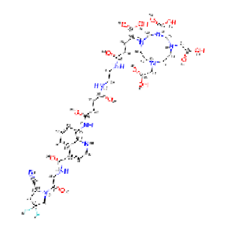 N#C[C@@H]1CC(F)(F)CN1C(=O)CNC(=O)c1ccnc2c(NC(=O)CCC(=O)NCCNC(=O)CCC(C(=O)O)N3CCN(CC(=O)O)CCN(CC(=O)O)CN(C(=O)O)C3)cccc12